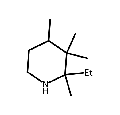 CCC1(C)NCCC(C)C1(C)C